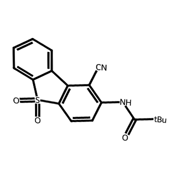 CC(C)(C)C(=O)Nc1ccc2c(c1C#N)-c1ccccc1S2(=O)=O